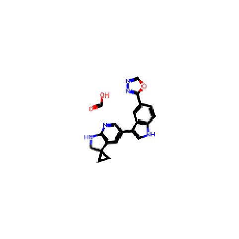 O=CO.c1nnc(-c2ccc3[nH]cc(-c4cnc5c(c4)C4(CC4)CN5)c3c2)o1